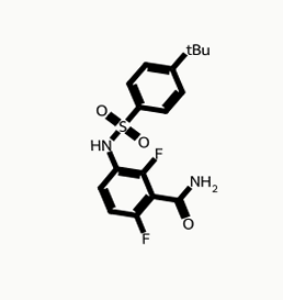 CC(C)(C)c1ccc(S(=O)(=O)Nc2ccc(F)c(C(N)=O)c2F)cc1